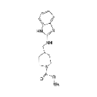 CC(C)(C)OC(=O)N1CCC(CNc2nc3ccccc3[nH]2)CC1